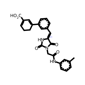 Cc1cccc(NC(=O)CN2C(=O)N/C(=C\c3cccc(C4=CC(C(=O)O)=CCC4)c3)C2=O)c1